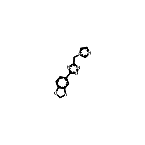 c1cn(Cc2noc(-c3ccc4c(c3)OCO4)n2)cn1